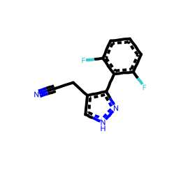 N#CCc1c[nH]nc1-c1c(F)cccc1F